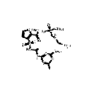 COC(=O)c1sccc1S(=O)(=O)NC(=O)Nc1nc(C)nc(OC)n1.O=C(O)CNCP(=O)(O)O.[KH]